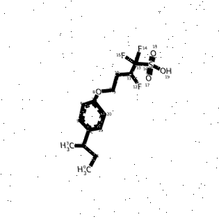 CCC(C)c1ccc(OCCC(F)C(F)(F)S(=O)(=O)O)cc1